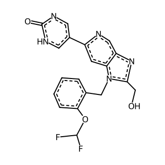 O=c1ncc(-c2cc3c(cn2)nc(CO)n3Cc2ccccc2OC(F)F)c[nH]1